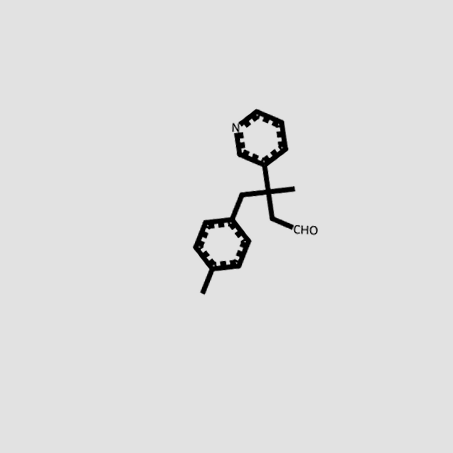 Cc1ccc(CC(C)(CC=O)c2cccnc2)cc1